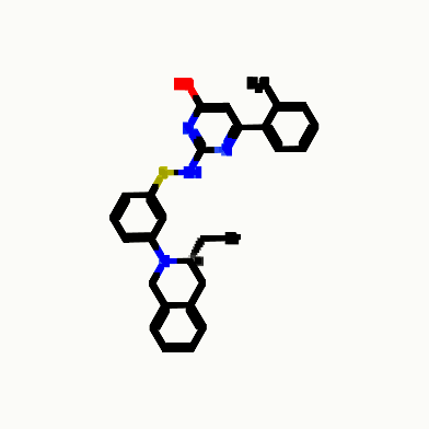 Cc1ccccc1-c1cc(O)nc(NSc2cccc(N3Cc4ccccc4C[C@H]3CC(C)C)c2)n1